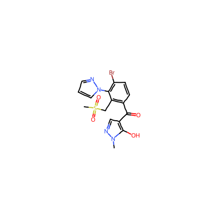 Cn1ncc(C(=O)c2ccc(Br)c(-n3cccn3)c2CS(C)(=O)=O)c1O